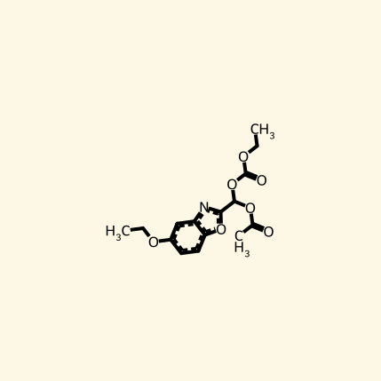 CCOC(=O)OC(OC(C)=O)c1nc2cc(OCC)ccc2o1